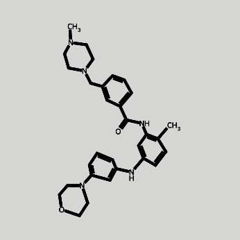 Cc1ccc(Nc2cccc(N3CCOCC3)c2)cc1NC(=O)c1cccc(CN2CCN(C)CC2)c1